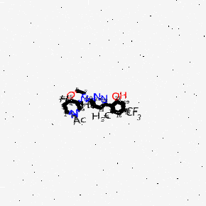 CC(=O)N1CC[C@H]2OCCN(c3ccc(-c4c(C)cc(C(F)(F)F)cc4O)nn3)[C@H]2C1